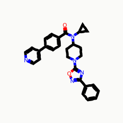 O=C(c1ccc(-c2ccncc2)cc1)N(C1CC1)C1CCN(c2nc(-c3ccccc3)no2)CC1